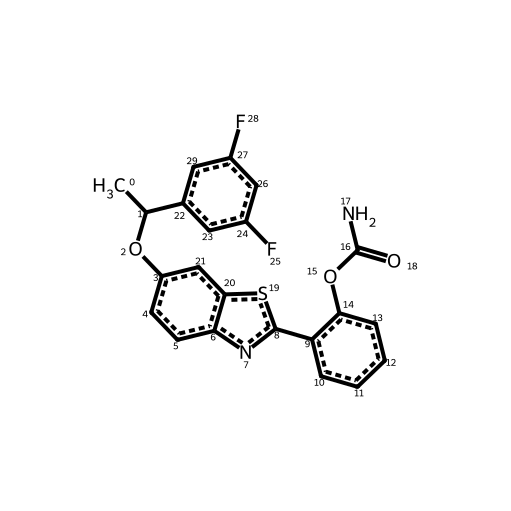 CC(Oc1ccc2nc(-c3ccccc3OC(N)=O)sc2c1)c1cc(F)cc(F)c1